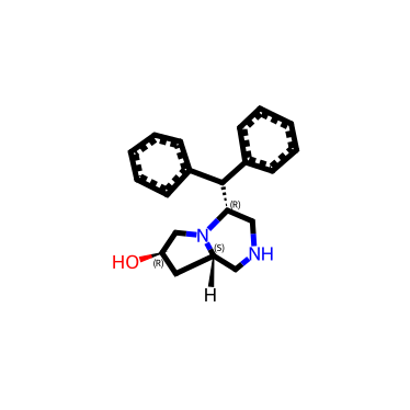 O[C@@H]1C[C@H]2CNC[C@@H](C(c3ccccc3)c3ccccc3)N2C1